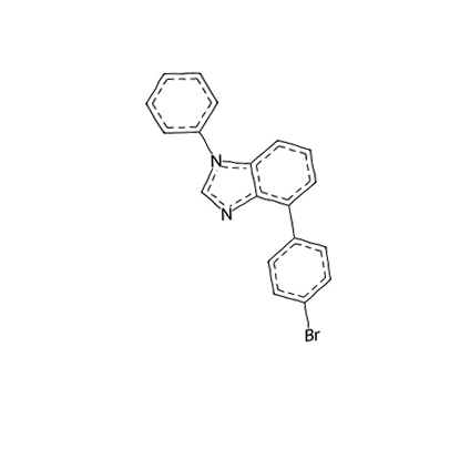 Brc1ccc(-c2cccc3c2ncn3-c2ccccc2)cc1